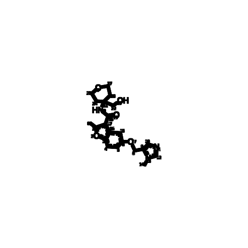 Cc1oc2ccc(OCc3cncn3C)cc2c1C(=O)NC1(CO)CCOCC1